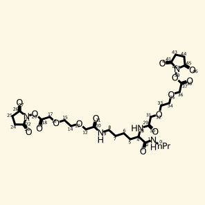 CCCNC(=O)C(CCCCNC(=O)COCCOCC(=O)ON1C(=O)CCC1=O)NC(=O)COCCOCC(=O)ON1C(=O)CCC1=O